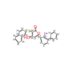 O=c1oc(-c2cccc(-c3ccccc3)c2I)cc(O)c1Sc1ccc2ccccc2c1